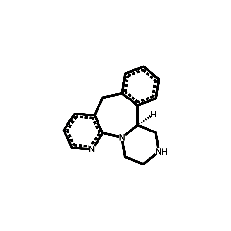 c1ccc2c(c1)Cc1cccnc1N1CCNC[C@H]21